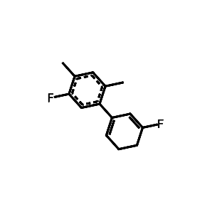 Cc1cc(C)c(C2=CCCC(F)=C2)cc1F